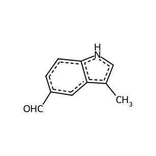 Cc1c[nH]c2ccc(C=O)cc12